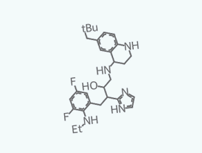 CCNc1c(F)cc(F)cc1CC(c1ncc[nH]1)C(O)CNC1CCNc2ccc(CC(C)(C)C)cc21